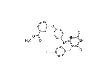 COC(=O)c1cccc(Oc2ccc(/N=c3\[nH]c(=O)[nH]c(=O)n3Cc3ccc(Cl)cc3)cc2)c1